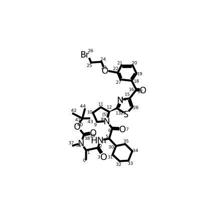 CC(C(=O)NC(C(=O)N1CCC[C@H]1c1nc(C(=O)c2cccc(OCCBr)c2)cs1)C1CCCCC1)N(C)C(=O)OC(C)(C)C